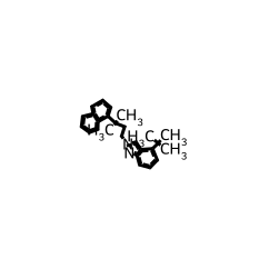 CC(C)(C)c1cccc2nn(CCC(C)(C)c3cccc4ccccc34)cc12